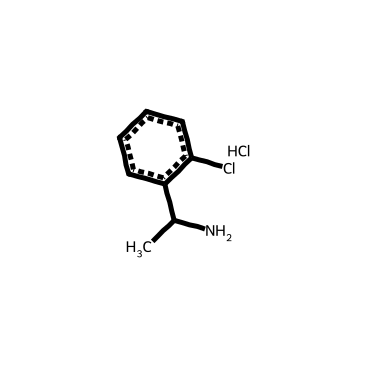 CC(N)c1ccccc1Cl.Cl